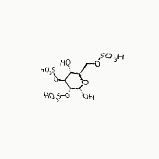 O=S(=O)(O)OC[C@H]1O[C@H](O)[C@H](OS(=O)(=O)O)[C@@H](OS(=O)(=O)O)[C@@H]1O